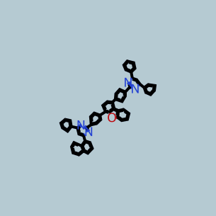 c1ccc(-c2cc(-c3ccccc3)nc(-c3ccc(-c4ccc(-c5ccc(-c6nc(-c7ccccc7)cc(-c7cccc8ccccc78)n6)cc5)c5oc6ccccc6c45)cc3)n2)cc1